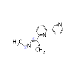 C=C/C(=C\N=C/C)c1cccc(-c2cccnc2)n1